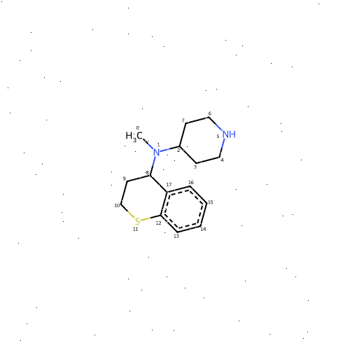 CN(C1CCNCC1)C1CCSc2ccccc21